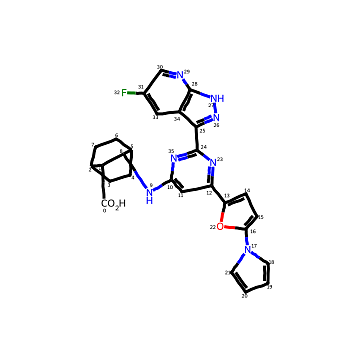 O=C(O)C1C2CCC(CC2)C1Nc1cc(-c2ccc(-n3cccc3)o2)nc(-c2n[nH]c3ncc(F)cc23)n1